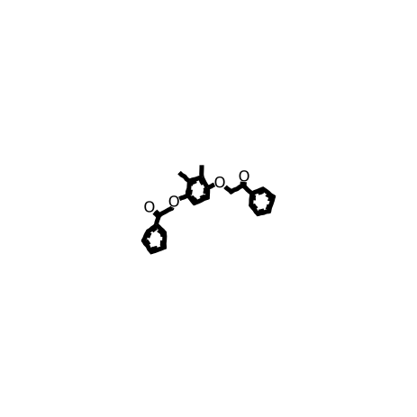 Cc1c(OCC(=O)c2ccccc2)ccc(OCC(=O)c2ccccc2)c1C